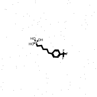 O[Si](O)(O)CCCCCc1ccc(C(F)(F)F)cc1